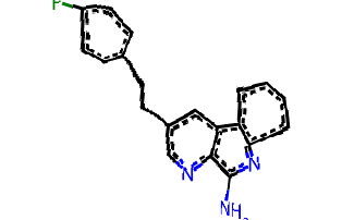 Nc1nc2ccccc2c2cc(CCc3ccc(F)cc3)cnc12